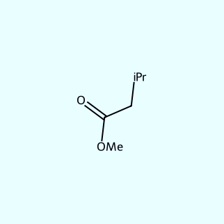 [CH2]C(C)CC(=O)OC